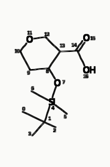 CC(C)(C)[Si](C)(C)OC1CCOCC1C(=O)O